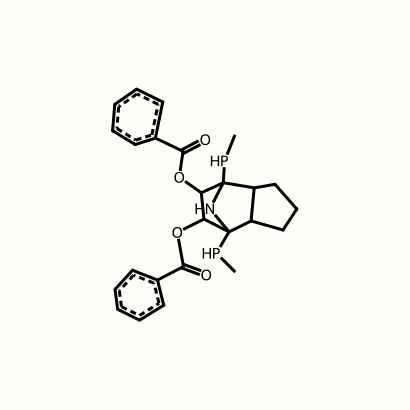 CPC12NC(PC)(C3CCCC31)C(OC(=O)c1ccccc1)C2OC(=O)c1ccccc1